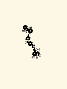 O=C(c1ccc(CCNCC(O)c2ccc(O)c3[nH]c(=O)ccc23)cc1)N1CCC(COc2cccc(C(O)(C(=O)O)c3ccccc3)c2)CC1